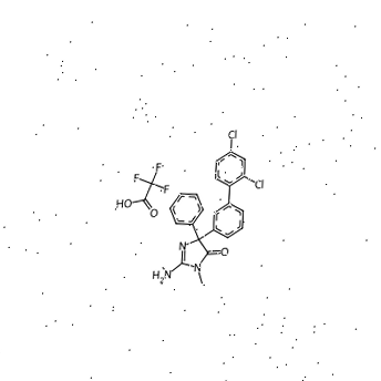 CN1C(=O)C(c2ccccc2)(c2cccc(-c3ccc(Cl)cc3Cl)c2)N=C1N.O=C(O)C(F)(F)F